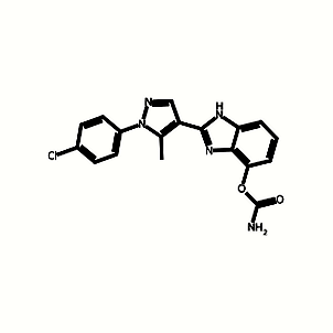 Cc1c(-c2nc3c(OC(N)=O)cccc3[nH]2)cnn1-c1ccc(Cl)cc1